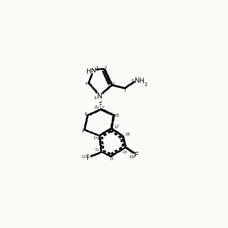 NCC1=CNCN1[C@H]1CCc2c(F)cc(F)cc2C1